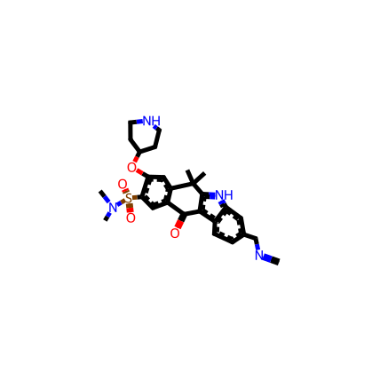 C=NCc1ccc2c3c([nH]c2c1)C(C)(C)c1cc(OC2CCNCC2)c(S(=O)(=O)N(C)C)cc1C3=O